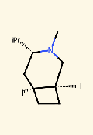 CC(C)[C@H]1C[C@@H]2CC[C@@H]2CN1C